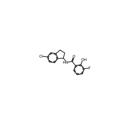 O=C(NC1CCc2cc(Cl)ccc21)c1cccc(F)c1O